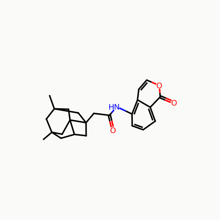 CC12CC3CC4(CC(=O)Nc5cccc6c(=O)occc56)CC(C)(C1)CC34C2